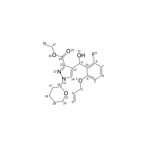 C=CCOc1cccc(F)c1C(O)c1cn(C2CCCCO2)nc1C(=O)OCC